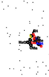 C#CCO[C@@H]1CSSCC1OP(O[C@H]1[C@@H](OC)[C@H](n2ccc(=O)[nH]c2=O)O[C@@H]1COC(c1ccccc1)(c1ccc(OC)cc1)c1ccc(OC)cc1)N(C(C)C)C(C)C